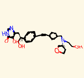 O=c1[nH]cnc(C[C@H](CO)c2ccc(C#Cc3ccc(CN(CCO)[C@@H]4CCOC4)cc3)cc2)c1O